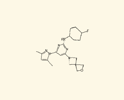 Cc1cc(C)n(-c2cc(N3CC4(COC4)C3)nc(NC3CCC(F)CC3)n2)n1